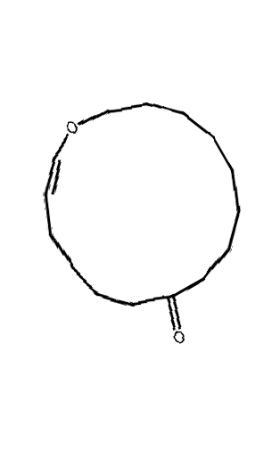 O=C1CCCC/C=C\OCCCCCCCC1